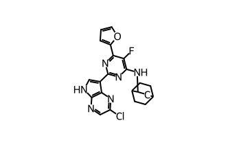 Fc1c(NC2CC3CCC2CC3)nc(-c2c[nH]c3ncc(Cl)nc23)nc1-c1ccco1